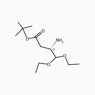 CCOC(OCC)[C@@H](N)CC(=O)OC(C)(C)C